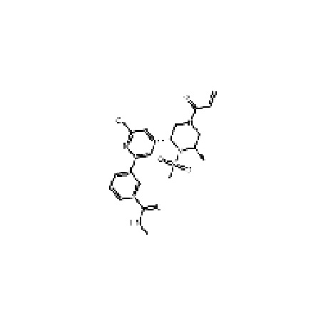 C=CC(=O)N1C[C@@H](C)N(S(C)(=O)=O)[C@H](c2cc(Cl)nc(-c3cccc(C(=O)NC)c3)c2)C1